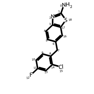 Nc1nc2ccc(Cc3ccc(F)cc3Cl)cc2s1